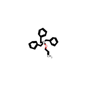 C=CC[O][Ti]([CH2]c1ccccc1)([CH2]c1ccccc1)[CH2]c1ccccc1